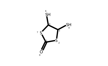 O=C1SC(S)C(S)S1